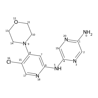 Nc1cnc(Nc2cc(N3CCOCC3)c(Cl)cn2)cn1